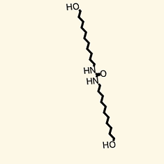 O=C(NCCCCCCCCCCCO)NCCCCCCCCCCCO